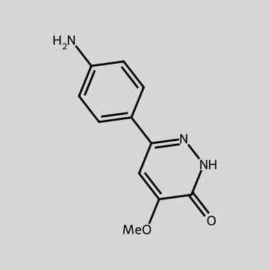 COc1cc(-c2ccc(N)cc2)n[nH]c1=O